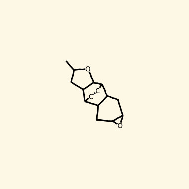 CC1CC2C3CCC(C4CC5OC5CC43)C2O1